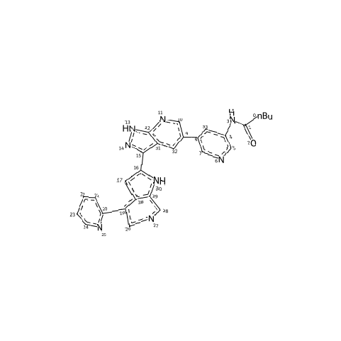 CCCCC(=O)Nc1cncc(-c2cnc3[nH]nc(-c4cc5c(-c6ccccn6)cncc5[nH]4)c3c2)c1